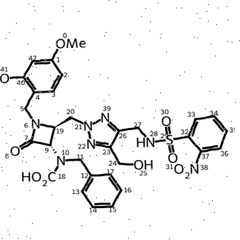 COc1ccc(CN2C(=O)[C@@H](N(Cc3ccccc3)C(=O)O)[C@@H]2Cn2nc(CO)c(CNS(=O)(=O)c3ccccc3[N+](=O)[O-])n2)c(OC)c1